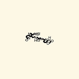 COc1ccc2ncc(F)c(CCNCC(CNCc3ccc4c(n3)NC(=O)CO4)OC)c2n1.Cl.Cl